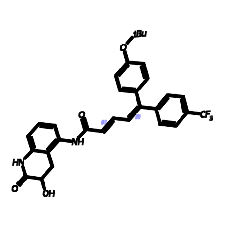 CC(C)(C)Oc1ccc(/C(=C\C=C\C(=O)Nc2cccc3c2CC(O)C(=O)N3)c2ccc(C(F)(F)F)cc2)cc1